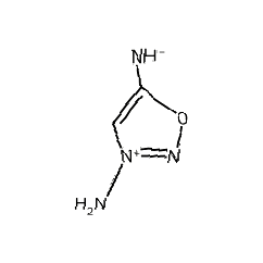 [NH-]c1c[n+](N)no1